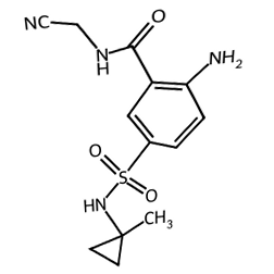 CC1(NS(=O)(=O)c2ccc(N)c(C(=O)NCC#N)c2)CC1